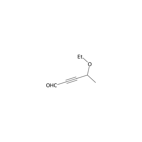 CCOC(C)C#CC=O